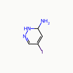 NC1C=C(I)C=NN1